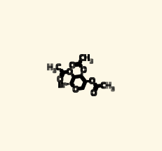 CC(=O)O[C@H]1[C@H](OC(C)=O)[C@H](OC(C)=O)CO[C@@H]1Br